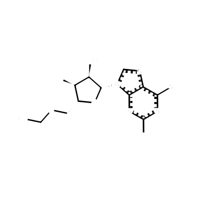 CCSC[C@H]1O[C@@H](n2cnc3c(N)nc(I)nc32)[C@H](O)[C@@H]1O